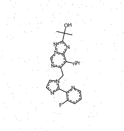 CCCc1c(Cn2ccnc2-c2ncccc2F)ncn2nc(C(C)(C)O)nc12